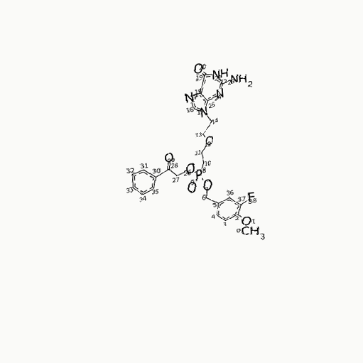 COc1ccc(COP(=O)(CCOCCn2cnc3c(=O)[nH]c(N)nc32)OCC(=O)c2ccccc2)cc1F